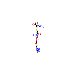 CCC(=O)[C@@H](N)CSSCCC(=O)NCCOCCOCCn1cc(C)nn1